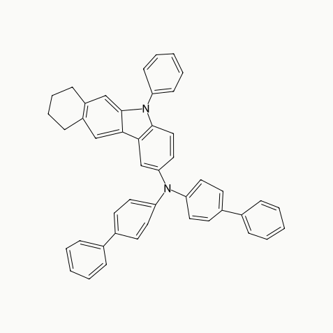 c1ccc(-c2ccc(N(c3ccc(-c4ccccc4)cc3)c3ccc4c(c3)c3cc5c(cc3n4-c3ccccc3)CCCC5)cc2)cc1